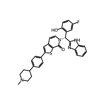 CN1CCC(c2ccc(-c3cc4ccn([C@@H](c5nc6ccccc6[nH]5)c5cc(F)ccc5O)c(=O)c4s3)cc2)CC1